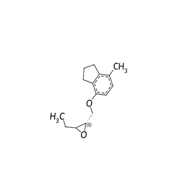 CCC1O[C@H]1COc1ccc(C)c2c1CCC2